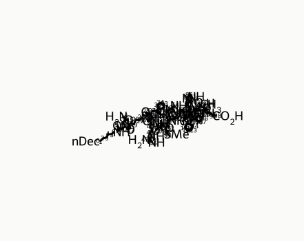 CCCCCCCCCCCCCCCCNC(=O)CN(CC(N)=O)C(=O)CCCCCNC(=O)C(Cc1c[nH]c2ccccc12)NC(=O)C(CCCNC(=N)N)NC(=O)C(CSSC)NC(=O)C(CCCNC(=N)N)NC(=O)CC1CCCN1C(=O)C(NC(=O)C(Cc1c[nH]cn1)NC(=O)C(NC(=O)CNCC(=O)O)C(C)O)C(c1ccccc1)c1ccccc1